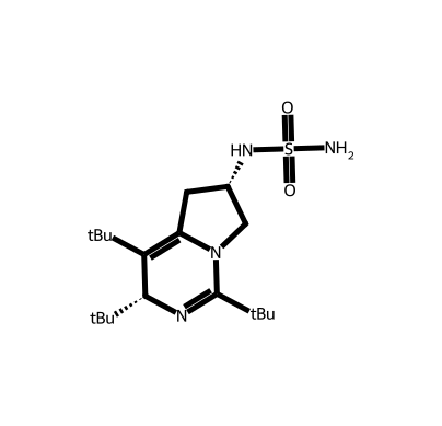 CC(C)(C)C1=N[C@H](C(C)(C)C)C(C(C)(C)C)=C2C[C@H](NS(N)(=O)=O)CN12